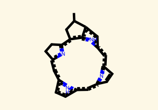 CC1Cc2c3nc(cc4ccc(cc5nc(cc6cc1c2[nH]6)C=C5)[nH]4)CC3